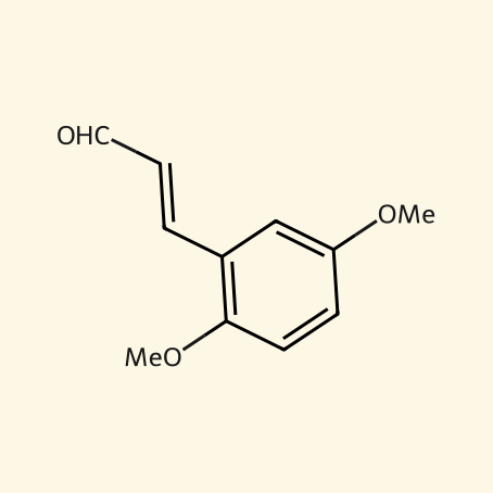 COc1ccc(OC)c(/C=C/C=O)c1